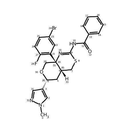 Cn1cc([C@H]2C[C@H]3CSC(NC(=O)c4ccccc4)=N[C@@]3(c3cc(Br)ccc3F)CO2)cn1